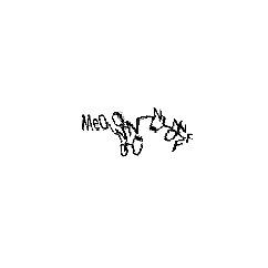 COCCn1c(=O)c2ccccc2n(Cc2ccc(-c3nnc(C(F)F)o3)cn2)c1=O